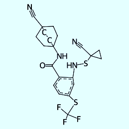 N#CC12CCC(NC(=O)c3ccc(SC(F)(F)F)cc3NSC3(C#N)CC3)(CC1)CC2